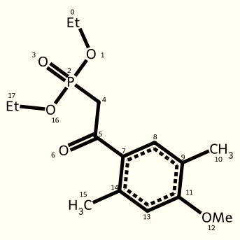 CCOP(=O)(CC(=O)c1cc(C)c(OC)cc1C)OCC